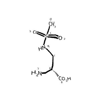 CS(=O)(=O)NC[C@@H](N)C(=O)O